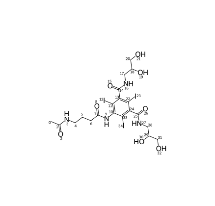 CC(=O)NCCCC(=O)Nc1c(I)c(C(=O)NCC(O)CO)c(I)c(C(=O)NCC(O)CO)c1I